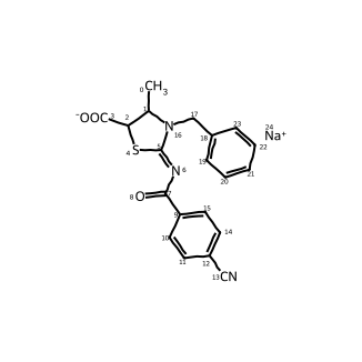 CC1C(C(=O)[O-])SC(=NC(=O)c2ccc(C#N)cc2)N1Cc1ccccc1.[Na+]